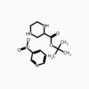 CC(C)(C)OC(=O)C1CNCCN1.O=[N+]([O-])c1cccnc1